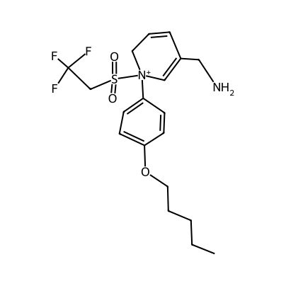 CCCCCOc1ccc([N+]2(S(=O)(=O)CC(F)(F)F)C=C(CN)C=CC2)cc1